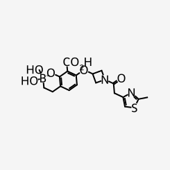 Cc1nc(CC(=O)N2CC(Oc3ccc4c(c3C(=O)O)O[B-](O)(O)CC4)C2)cs1